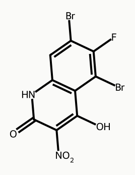 O=c1[nH]c2cc(Br)c(F)c(Br)c2c(O)c1[N+](=O)[O-]